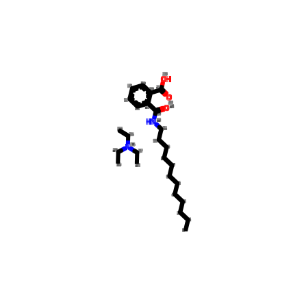 CCCCCCCCCCCCNC(=O)c1ccccc1C(=O)O.CCN(CC)CC